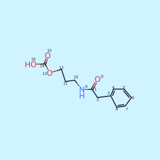 O=C(Cc1ccccc1)NCCCOC(=O)O